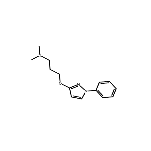 CN(C)CCCOc1ccn(-c2ccccc2)n1